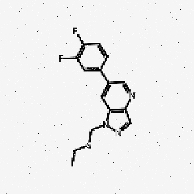 CCSCn1ncc2ncc(-c3ccc(F)c(F)c3)cc21